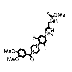 COC(=S)NCc1cn(-c2cc(F)c(N3CCN(C(=O)c4ccc(OC)c(OC)c4)CC3)c(F)c2)nn1